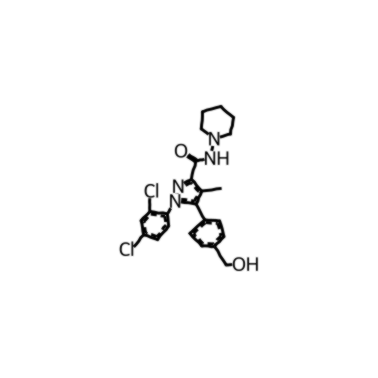 Cc1c(C(=O)NN2CCCCC2)nn(-c2ccc(Cl)cc2Cl)c1-c1ccc(CO)cc1